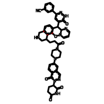 N#Cc1cccc(-c2cc(C(c3ccccc3)C3N=CC=CN3OCC3CCNCC3CCC(=O)N3CCN(c4ccc5c(=O)n(C6CCC(=O)NC6=O)ncc5c4)CC3)c(=O)[nH]n2)c1